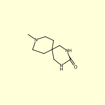 CN1CCC2(CC1)CNC(=O)NC2